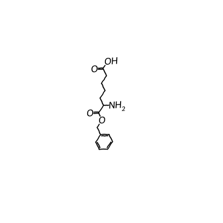 NC(CCCCC(=O)O)C(=O)OCc1ccccc1